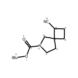 CC(C)(C)OC(=O)N1CCC2(CCC2C#N)C1